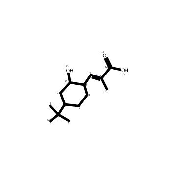 C/C(=C\C1CCC(C(C)(C)C)CC1O)C(=O)O